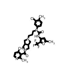 Cc1cc(NC(=O)N(CCCN2CC3CN(C(=O)c4c(C)ccnc4C)CC3C2)c2ccc(C)c(Cl)c2)c(C(F)(F)F)o1